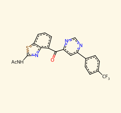 CC(=O)Nc1nc2c(C(=O)c3cc(-c4ccc(C(F)(F)F)cc4)ncn3)cccc2s1